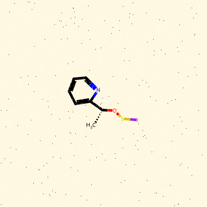 C[C@@H](OSI)c1ccccn1